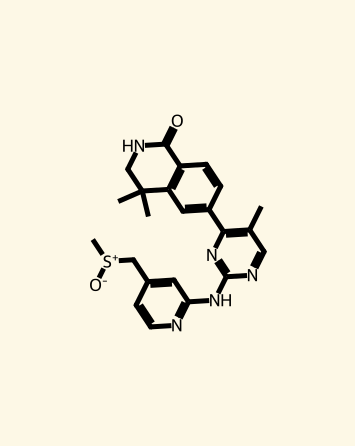 Cc1cnc(Nc2cc(C[S+](C)[O-])ccn2)nc1-c1ccc2c(c1)C(C)(C)CNC2=O